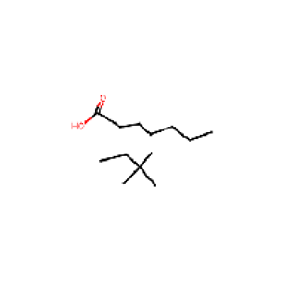 CCC(C)(C)C.CCCCCCC(=O)O